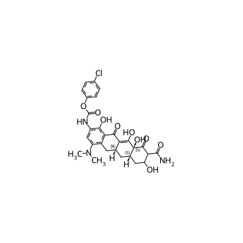 CN(C)c1cc(NC(=O)Oc2ccc(Cl)cc2)c(O)c2c1C[C@H]1C[C@H]3CC(O)C(C(N)=O)C(=O)[C@@]3(O)C(O)=C1C2=O